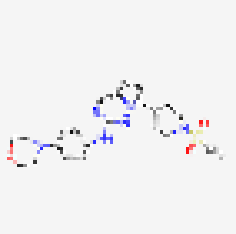 CS(=O)(=O)N1CC=C(c2ccc3cnc(Nc4ccc(N5CCOCC5)cc4)nn23)CC1